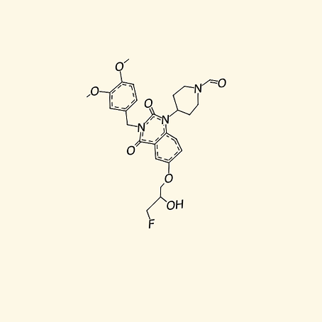 COc1ccc(Cn2c(=O)c3cc(OCC(O)CF)ccc3n(C3CCN(C=O)CC3)c2=O)cc1OC